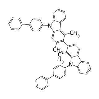 Cc1cc2c(c(C)c1-c1ccc3c4ccccc4n(-c4ccc(-c5ccccc5)cc4)c3c1C)c1ccccc1n2-c1ccc(-c2ccccc2)cc1